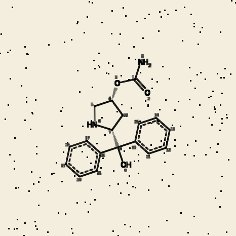 NC(=O)O[C@H]1CN[C@@H](C(O)(c2ccccc2)c2ccccc2)C1